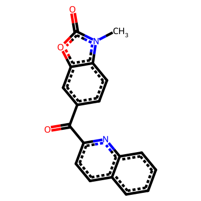 Cn1c(=O)oc2cc(C(=O)c3ccc4ccccc4n3)ccc21